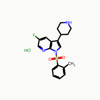 Cc1ccccc1S(=O)(=O)n1cc(C2CCNCC2)c2cc(F)cnc21.Cl